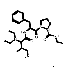 CCNC(=O)[C@@H]1CCCN1C(=O)C(Cc1ccccc1)NC(=O)C(C(C)CC)N(CC)CC